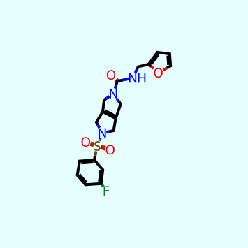 O=C(NCc1ccco1)N1CC2=C(C1)CN(S(=O)(=O)c1cccc(F)c1)C2